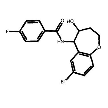 O=C(NC1c2cc(Br)ccc2OCCC1O)c1ccc(F)cc1